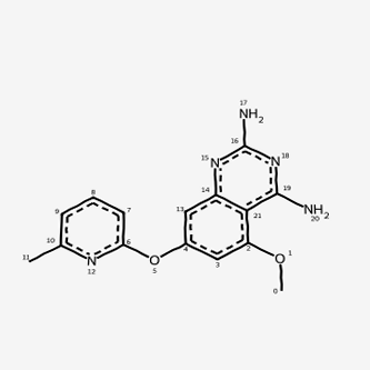 COc1cc(Oc2cccc(C)n2)cc2nc(N)nc(N)c12